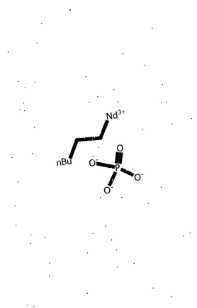 CCCCC[CH2][Nd+3].O=P([O-])([O-])[O-]